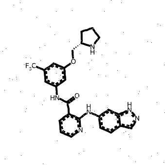 O=C(Nc1cc(OC[C@@H]2CCCN2)cc(C(F)(F)F)c1)c1cccnc1Nc1ccc2cn[nH]c2c1